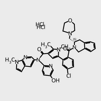 Cc1c(C(=O)N(c2cnc3c(ccn3C)c2)c2ccc(O)cn2)cc(-c2cc(Cl)ccc2C(=O)N2Cc3ccccc3C[C@H]2CN2CCOCC2)n1C.Cl.Cl